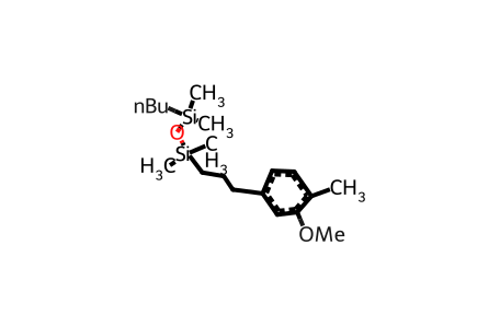 CCCC[Si](C)(C)O[Si](C)(C)CCCc1ccc(C)c(OC)c1